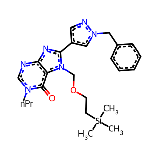 CCCn1cnc2nc(-c3cnn(Cc4ccccc4)c3)n(COCC[Si](C)(C)C)c2c1=O